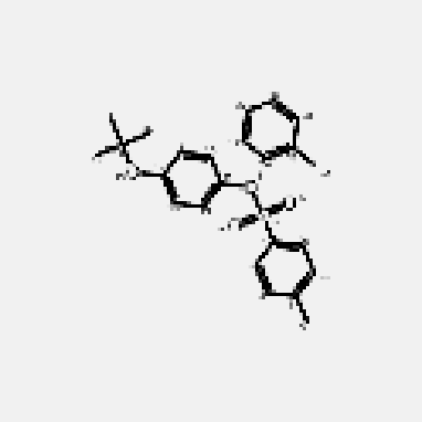 Cc1ccc(S(=O)(=O)Oc2ccc(OC(C)(C)C)cc2)cc1.Ic1ccccc1